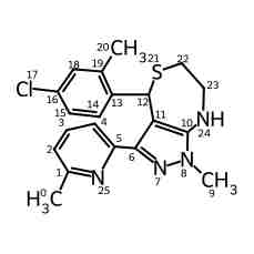 Cc1cccc(-c2nn(C)c3c2C(c2ccc(Cl)cc2C)SCCN3)n1